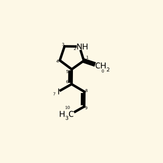 C=C1NCC/C1=C(I)/C=C\C